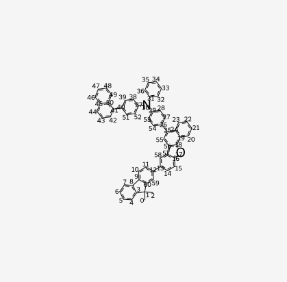 CC1(C)c2ccccc2-c2ccc(-c3ccc4oc5c6ccccc6c(-c6ccc(N(c7ccccc7)c7ccc(-c8cccc9ccccc89)cc7)cc6)cc5c4c3)cc21